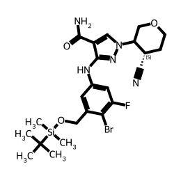 CC(C)(C)[Si](C)(C)OCc1cc(Nc2nn(C3COCC[C@@H]3C#N)cc2C(N)=O)cc(F)c1Br